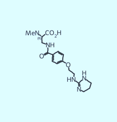 CN[C@H](CNC(=O)c1ccc(OCCNC2=NCCCN2)cc1)C(=O)O